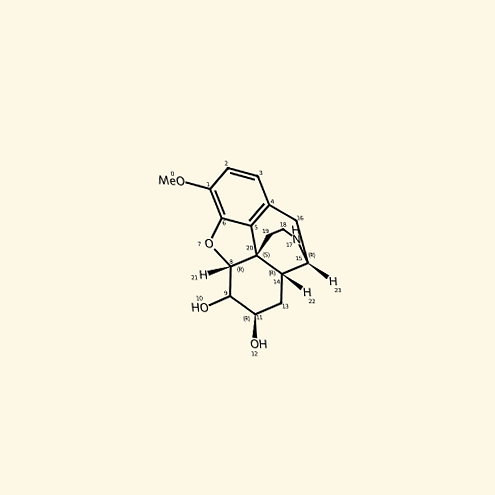 COc1ccc2c3c1O[C@H]1C(O)[C@H](O)C[C@H]4[C@@H](C2)NCC[C@]314